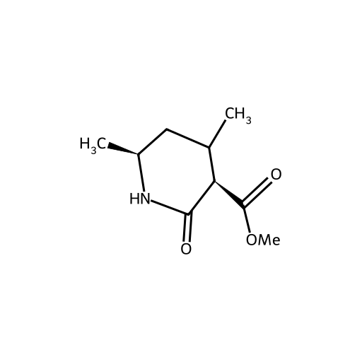 COC(=O)[C@H]1C(=O)N[C@@H](C)CC1C